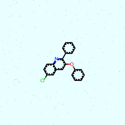 Clc1ccc2nc(-c3ccccc3)c(Oc3ccccc3)cc2c1